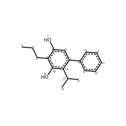 CCCc1c(O)cc(-c2ccccc2)c(C(C)C)c1O